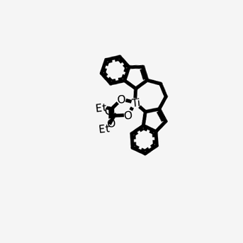 CCC(=O)[O][Ti]1([O]C(=O)CC)[CH]2C(=Cc3ccccc32)CCC2=Cc3ccccc3[CH]21